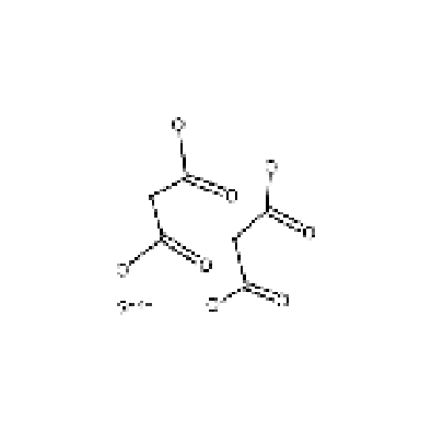 O=C([O-])CC(=O)[O-].O=C([O-])CC(=O)[O-].[Sn+4]